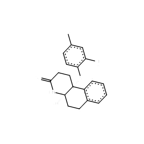 Cc1ccc(S[C@@]23CCC(=O)N[C@@H]2CCc2ccccc23)c(Cl)c1